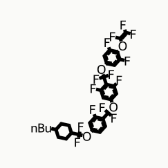 CCCCC1CCC(C(F)(F)Oc2ccc(C(F)(F)Oc3cc(F)c(C(F)(F)Oc4cc(F)c(OC(F)=C(F)F)c(F)c4)c(F)c3)c(F)c2)CC1